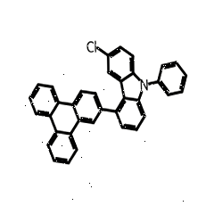 Clc1ccc2c(c1)c1c(-c3ccc4c5ccccc5c5ccccc5c4c3)cccc1n2-c1ccccc1